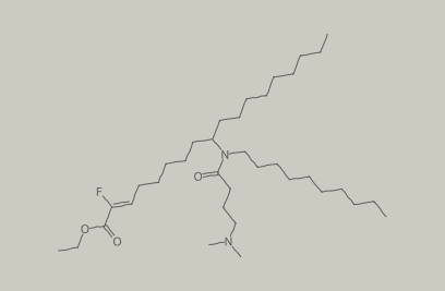 CCCCCCCCCCN(C(=O)CCCN(C)C)C(CCCCC/C=C(\F)C(=O)OCC)CCCCCCCCC